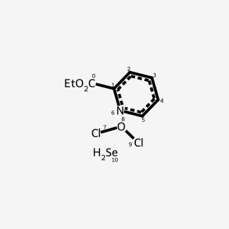 CCOC(=O)c1ccccn1.ClOCl.[SeH2]